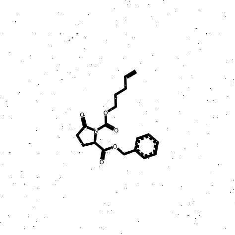 C=CCCCOC(=O)N1C(=O)CCC1C(=O)OCc1ccccc1